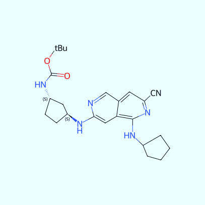 CC(C)(C)OC(=O)N[C@H]1CC[C@H](Nc2cc3c(NC4CCCC4)nc(C#N)cc3cn2)C1